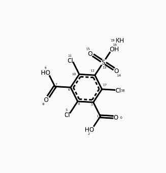 O=C(O)c1c(Cl)c(C(=O)O)c(Cl)c(S(=O)(=O)O)c1Cl.[KH]